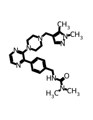 Cc1c(CN2CCN(c3nccnc3-c3ccc(CNC(=O)N(C)C)cc3)CC2)cnn1C